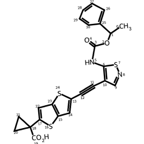 CC(OC(=O)Nc1sncc1C#Cc1cc2sc(C3(C(=O)O)CC3)cc2s1)c1ccccc1